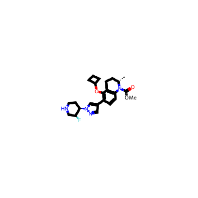 COC(=O)N1c2ccc(-c3cnn([C@@H]4CCNC[C@@H]4F)c3)c(OC3CCC3)c2CC[C@@H]1C